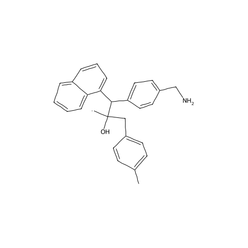 [CH2]C(O)(Cc1ccc(C)cc1)C(c1ccc(CN)cc1)c1cccc2ccccc12